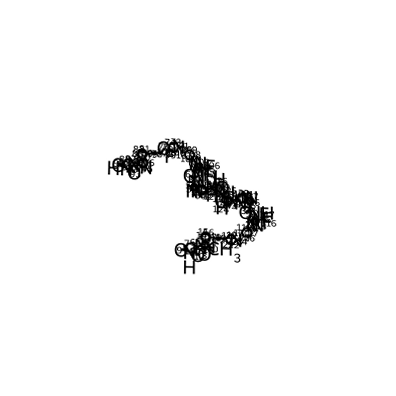 Cn1c(=O)n(C2CCC(=O)NC2=O)c2cccc(C#CC3CCN(C[C@H]4CC[C@H](n5cc(NC(=O)c6cnn7ccc(N8C[C@H]9C[C@@H]8C(C8O[C@@H]%10C[C@H]8N(c8ccn%11ncc(C(=O)Nc%12cn([C@H]%13CC[C@H](CN%14CC[C@@H](OCC#Cc%15cccc%16c(N%17CCC(=O)NC%17=O)cncc%15%16)[C@@H](F)C%14)CC%13)nc%12C(F)F)c%11n8)C%10)O9)nc67)c(C(F)F)n5)CC4)CC3)c21